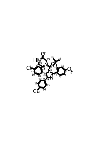 COc1ccc(C2=N[C@@H](c3ccc(Cl)cc3)[C@H](c3ccc(Cl)cc3)N2C(=O)N2CCNC(=O)C2)c(OC(C)C)c1